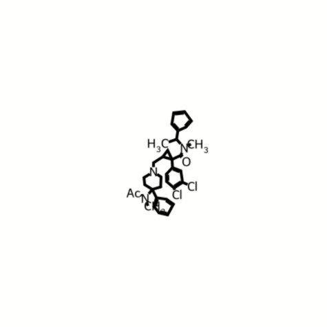 CC(=O)N(C)C1(c2ccccc2)CCN(CC2CC2(C(=O)N(C)C(C)c2ccccc2)c2ccc(Cl)c(Cl)c2)CC1